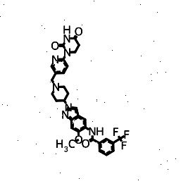 COc1cc2nn(C3CCN(Cc4ccc(N5CCC(=O)NC5=O)nc4)CC3)cc2cc1NC(=O)c1cccc(C(F)(F)F)c1